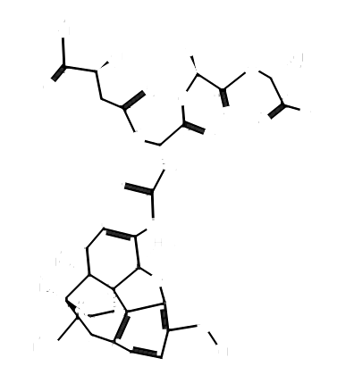 COc1ccc2c3c1O[C@@H]1C(OC(=O)C[C@H](OC(=O)C[C@H](O)C(=O)O)C(=O)O[C@@H](C)C(=O)O[C@H](C)C(=O)O)=CC[C@]4(O)[C@H](C2)N(C)CC[C@@]314